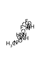 CN1CC(OC(=O)Nc2nc3cc(-c4n[nH]c(=O)c5c(F)ccc(F)c45)ccc3[nH]2)C1